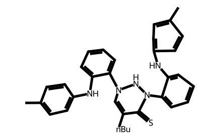 CCCCC1=CN(c2ccccc2Nc2ccc(C)cc2)NN(c2ccccc2Nc2ccc(C)cc2)C1=S